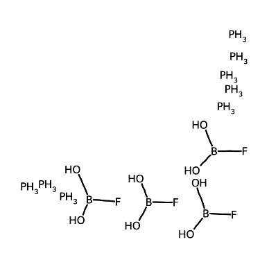 OB(O)F.OB(O)F.OB(O)F.OB(O)F.P.P.P.P.P.P.P.P